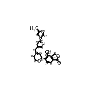 Cc1cn(-c2ncc(CN3CCO[C@H](c4ccc5c(c4C)COC5=O)C3)s2)cn1